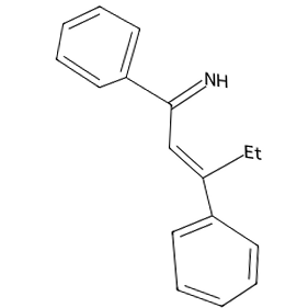 CC/C(=C\C(=N)c1ccccc1)c1ccccc1